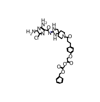 Nc1nc(N)c(C(=O)/N=C2\NCC3(CCN(C(=O)CCc4ccc(OCC(=O)OCC(=O)OCc5ccccc5)cc4)CC3)N2)nc1Cl